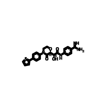 N=C(N)c1ccc(NC(=O)[C@H](O)[C@H]2OCCN(c3ccc(-c4cccs4)cc3)C2=O)cc1